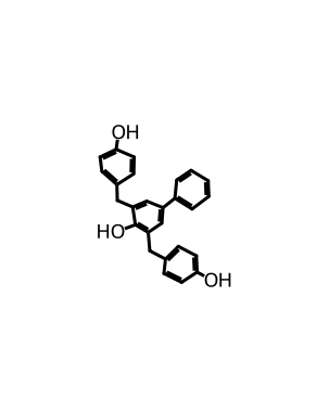 Oc1ccc(Cc2cc(-c3ccccc3)cc(Cc3ccc(O)cc3)c2O)cc1